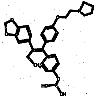 CC/C(=C(/c1ccc(OCCN2CCCC2)cc1)c1ccc(OP(O)O)cc1)c1ccc2c(c1)OCO2